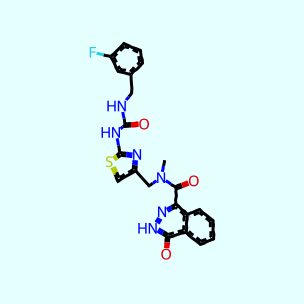 CN(Cc1csc(NC(=O)NCc2cccc(F)c2)n1)C(=O)c1n[nH]c(=O)c2ccccc12